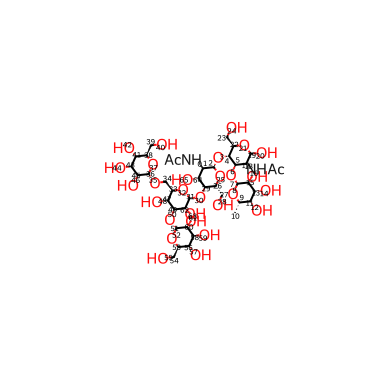 CC(=O)N[C@H]1[C@H](O[C@H]2[C@H](O[C@@H]3O[C@@H](C)[C@@H](O)[C@@H](O)[C@@H]3O)[C@@H](NC(C)=O)C(O)O[C@@H]2CO)O[C@H](CO)[C@@H](O[C@@H]2O[C@H](CO[C@H]3O[C@H](CO)[C@@H](O)[C@H](O)[C@@H]3O)[C@@H](O)[C@H](O[C@H]3O[C@H](CO)[C@@H](O)[C@H](O)[C@@H]3O)[C@@H]2O)[C@@H]1O